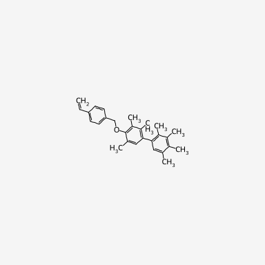 C=Cc1ccc(COc2c(C)cc(-c3cc(C)c(C)c(C)c3C)c(C)c2C)cc1